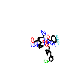 N#C[C@H](CC1CC2(CC2)NC1=O)NC(=O)[C@@H](NC(=O)OCC1(Cc2cccc(Cl)c2)CC1)C1CCCC(F)(F)CC1